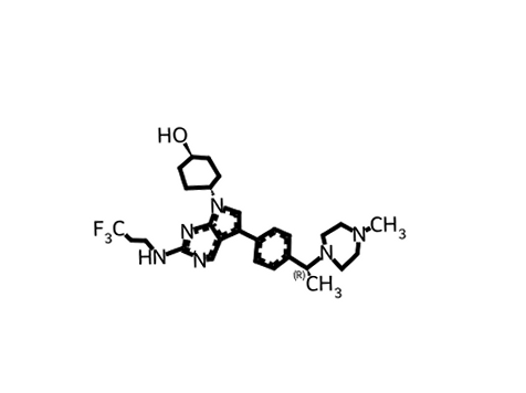 C[C@H](c1ccc(-c2cn([C@H]3CC[C@H](O)CC3)c3nc(NCCC(F)(F)F)ncc23)cc1)N1CCN(C)CC1